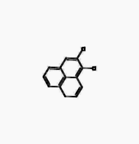 Clc1cc2cccc3c2c(c1Cl)C=CC3